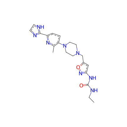 CCNC(=O)Nc1cc(CN2CCN(c3ccc(-c4ncc[nH]4)nc3C)CC2)on1